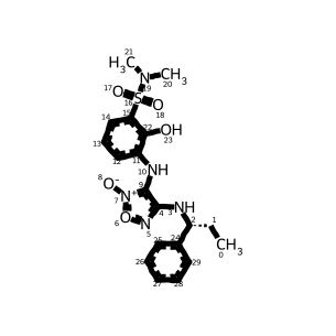 CC[C@@H](Nc1no[n+]([O-])c1Nc1cccc(S(=O)(=O)N(C)C)c1O)c1ccccc1